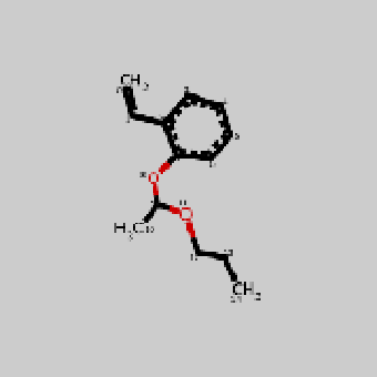 C=Cc1ccccc1OC(C)OCCC